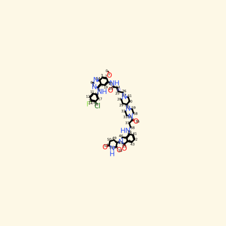 COc1cc2ncnc(Nc3ccc(F)c(Cl)c3)c2cc1NC(=O)/C=C/CN1CCC(N2CCN(C(=O)CCNc3cccc4c3CN(C3CCC(=O)NC3=O)C4=O)CC2)CC1